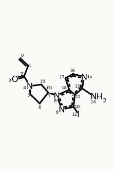 C=CC(=O)N1CC[C@H](n2nc(I)c3c(N)nccc32)C1